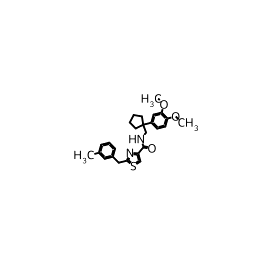 COc1ccc(C2(CNC(=O)c3csc(Cc4cccc(C)c4)n3)CCCC2)cc1OC